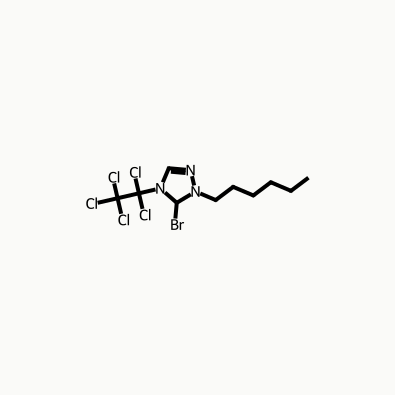 CCCCCCN1N=CN(C(Cl)(Cl)C(Cl)(Cl)Cl)C1Br